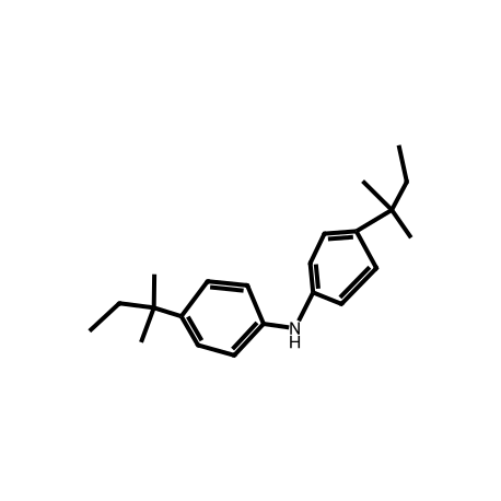 CCC(C)(C)c1ccc(Nc2ccc(C(C)(C)CC)cc2)cc1